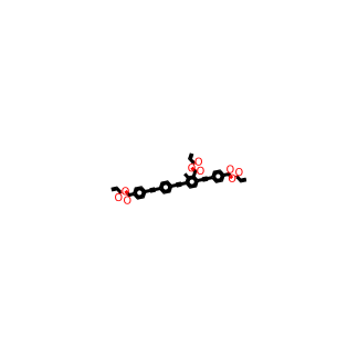 C=CC(=O)OC(=O)c1ccc(C#Cc2ccc(C#Cc3ccc(C#Cc4ccc(C(=O)OC(=O)C=C)cc4)c(C(=O)OC(=O)C=C)c3C)cc2)cc1